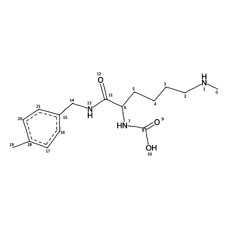 CNCCCCC(NC(=O)O)C(=O)NCc1ccc(C)cc1